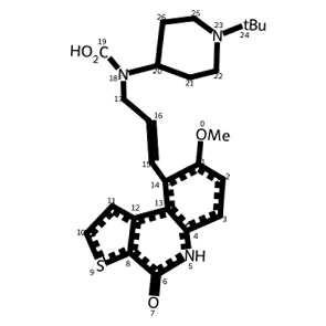 COc1ccc2[nH]c(=O)c3sccc3c2c1C=CCN(C(=O)O)C1CCN(C(C)(C)C)CC1